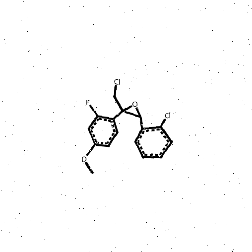 COc1ccc(C2(CCl)OC2c2ccccc2Cl)c(F)c1